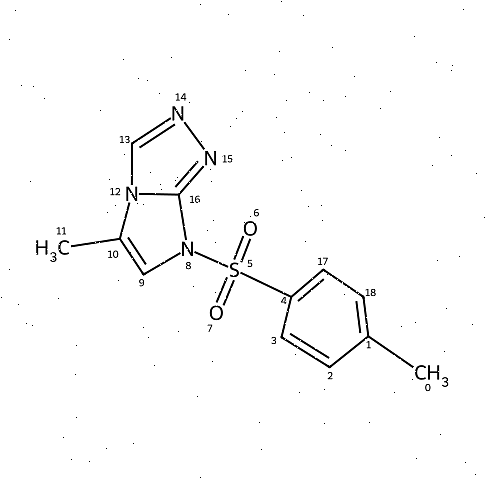 Cc1ccc(S(=O)(=O)n2cc(C)n3cnnc23)cc1